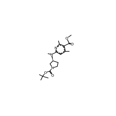 COC(=O)c1c(C)cc(N(C)[C@H]2CCN(C(=O)OC(C)(C)C)C2)nc1C